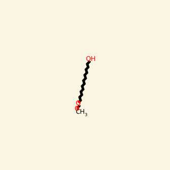 COCOCCCCCCCCCCCCCCCO